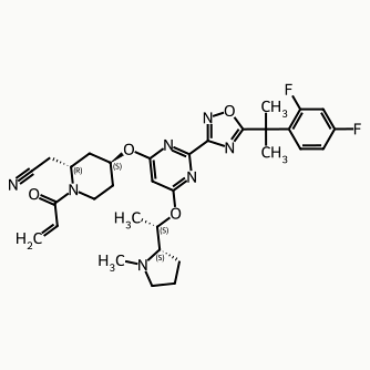 C=CC(=O)N1CC[C@H](Oc2cc(O[C@@H](C)[C@@H]3CCCN3C)nc(-c3noc(C(C)(C)c4ccc(F)cc4F)n3)n2)C[C@H]1CC#N